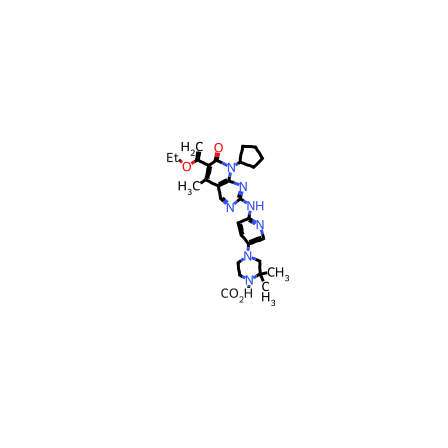 C=C(OCC)c1c(C)c2cnc(Nc3ccc(N4CCN(C(=O)O)C(C)(C)C4)cn3)nc2n(C2CCCC2)c1=O